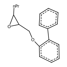 CCCC1OC1COc1ccccc1-c1ccccc1